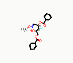 CON=C[C@H](OC(=O)c1ccccc1)[C@H](F)[C@H](O)COC(=O)c1ccccc1